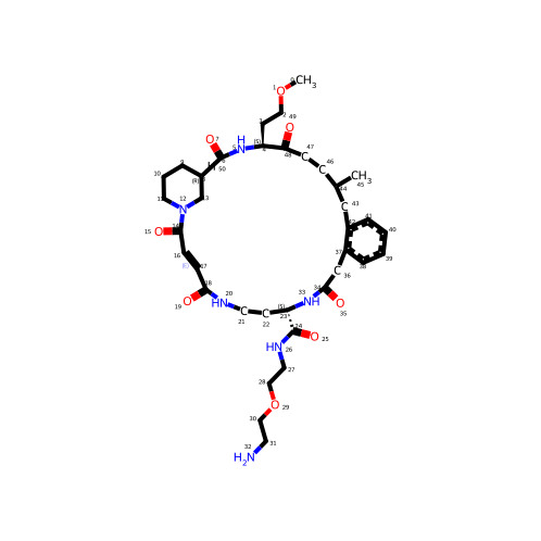 COCC[C@@H]1NC(=O)[C@@H]2CCCN(C2)C(=O)/C=C/C(=O)NCC[C@@H](C(=O)NCCOCCN)NC(=O)Cc2ccccc2CC(C)CCC1=O